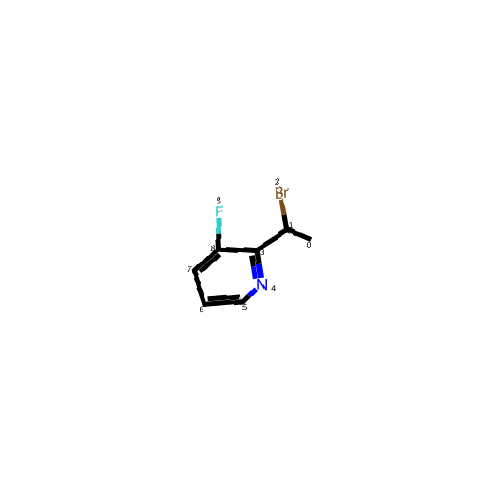 CC(Br)c1ncccc1F